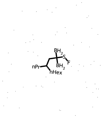 BC(B)(CC(CCC)CCCCCC)SF